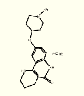 CCCN1CCC(Oc2ccc3[nH]c(=O)c4c(c3c2)NCCC4)CC1.Cl.Cl